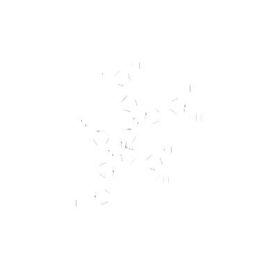 Cc1cc(C)cc(-c2ccc3c(c2)c2cc(-c4cc(C)cc(C)c4)ccc2n3-c2ccnc(-c3cc(C#N)ccc3-n3c4ccc(-c5cc(C)cc(C)c5)cc4c4cc(-c5cc(C)cc(C)c5)ccc43)c2)c1